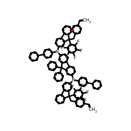 C=Cc1ccc(CC2(c3c(F)c(F)c(F)c(F)c3F)c3ccccc3-c3ccc(N(c4ccc(-c5ccccc5)cc4)c4ccc5c(c4)C(c4ccccc4)(c4ccccc4)c4cc(N(c6ccc(-c7ccccc7)cc6)c6ccc7c(c6)C(Cc6ccc(C=C)cc6)(c6c(F)c(F)c(F)c(F)c6F)c6ccccc6-7)ccc4-5)cc32)cc1